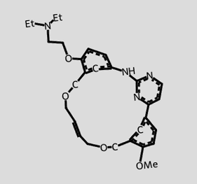 CCN(CC)CCOc1ccc2cc1COC/C=C/COCc1cc(ccc1OC)-c1ccnc(n1)N2